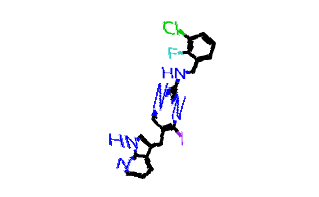 Fc1c(Cl)cccc1CNc1ncc(Cc2c[nH]c3ncccc23)c(I)n1